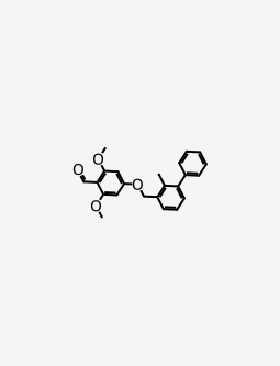 COc1cc(OCc2cccc(-c3ccccc3)c2C)cc(OC)c1C=O